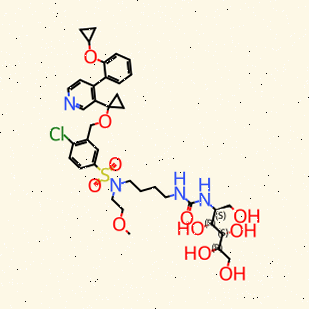 COCCN(CCCCNC(=O)N[C@@H](CO)[C@@H](O)[C@H](O)[C@H](O)CO)S(=O)(=O)c1ccc(Cl)c(COC2(c3cnccc3-c3ccccc3OC3CC3)CC2)c1